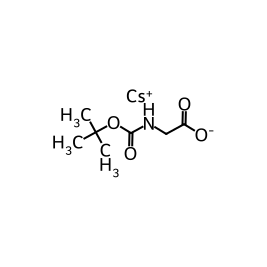 CC(C)(C)OC(=O)NCC(=O)[O-].[Cs+]